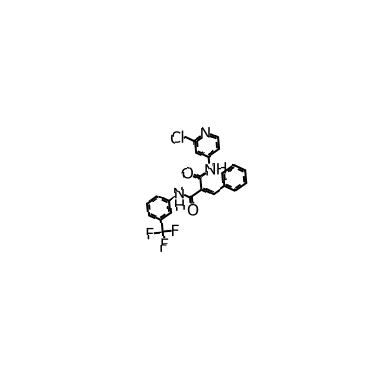 O=C(Nc1cccc(C(F)(F)F)c1)/C(=C/c1ccccc1)C(=O)Nc1ccnc(Cl)c1